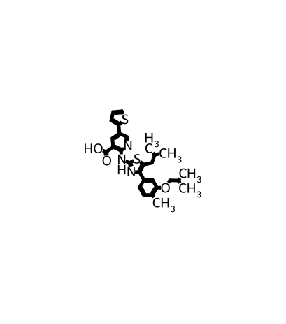 Cc1ccc(-c2nc(Nc3ncc(-c4cccs4)cc3C(=O)O)sc2CC(C)C)cc1OCC(C)C